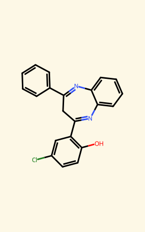 Oc1ccc(Cl)cc1C1=Nc2ccccc2N=C(c2ccccc2)C1